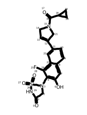 O=C1CN(c2c(O)cc3ccc(C4=CCN(C(=O)C5CC5)C4)cc3c2F)S(=O)(=O)N1